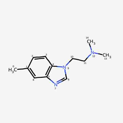 Cc1ccc2c(c1)ncn2CCN(C)C